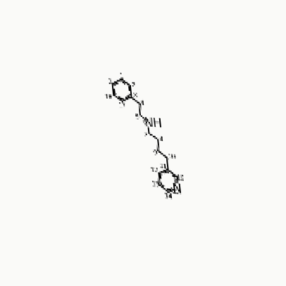 c1ccc(CCNCCCCc2cccnc2)cc1